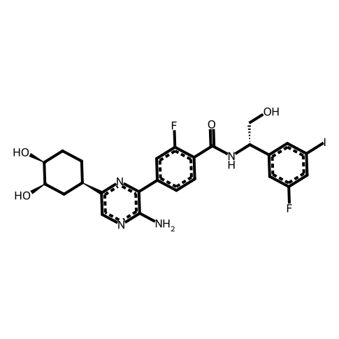 Nc1ncc([C@@H]2CC[C@H](O)[C@H](O)C2)nc1-c1ccc(C(=O)N[C@H](CO)c2cc(F)cc(I)c2)c(F)c1